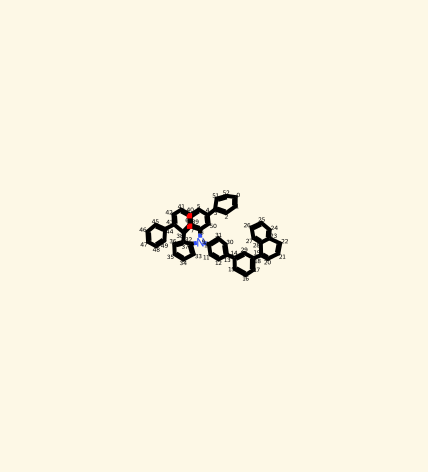 c1ccc(-c2cccc(N(c3ccc(-c4cccc(-c5cccc6ccccc56)c4)cc3)c3ccccc3-c3ccccc3-c3ccccc3)c2)cc1